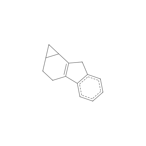 c1ccc2c(c1)CC1=C2CCC2CC12